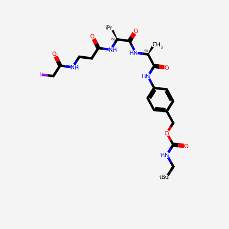 CC(C)[C@H](NC(=O)CCNC(=O)CI)C(=O)N[C@@H](C)C(=O)Nc1ccc(COC(=O)NCC(C)(C)C)cc1